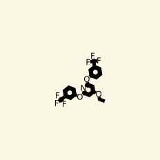 CCOc1cc(Oc2cccc(C(F)(F)F)c2)nc(Oc2cccc(C(F)(F)F)c2)c1